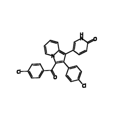 O=C(c1ccc(Cl)cc1)c1c(-c2ccc(Cl)cc2)c(-c2ccc(=O)[nH]c2)c2ccccn12